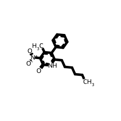 CCCCCCc1[nH]c(=O)c([N+](=O)[O-])c(C)c1-c1ccccc1